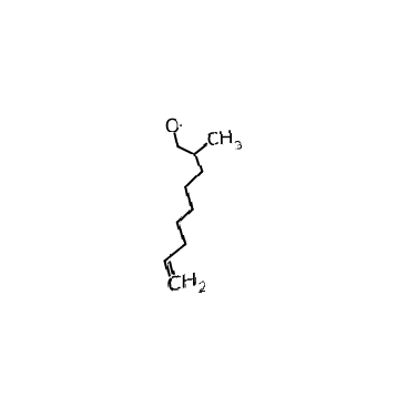 C=CCCCCCC(C)C[O]